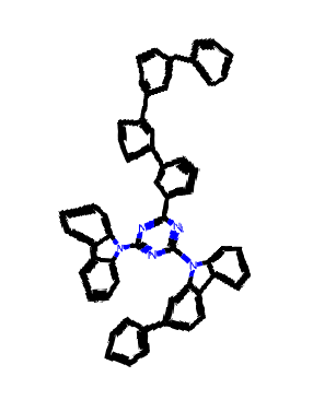 c1ccc(-c2cccc(-c3cccc(-c4cccc(-c5nc(-n6c7ccccc7c7ccccc76)nc(-n6c7ccccc7c7ccc(-c8ccccc8)cc76)n5)c4)c3)c2)cc1